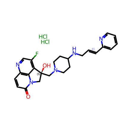 Cl.Cl.O=c1ccc2ncc(F)c3c2n1C[C@@]3(O)CN1CCC(NC/C=C/c2ccccn2)CC1